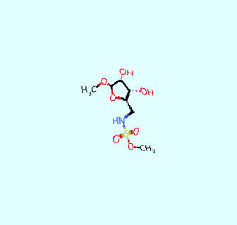 CO[C@@H]1O[C@H](CNS(=O)(=O)OC)[C@@H](O)[C@H]1O